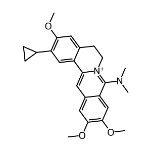 COc1cc2cc3[n+](c(N(C)C)c2cc1OC)CCc1cc(OC)c(C2CC2)cc1-3